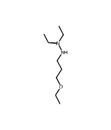 CCOCCCNN(CC)CC